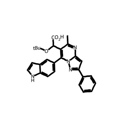 Cc1nc2cc(-c3ccccc3)nn2c(-c2ccc3[nH]ccc3c2)c1C(OC(C)(C)C)C(=O)O